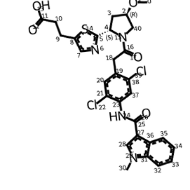 CO[C@@H]1C[C@@H](c2ncc(CCC(=O)O)s2)N(C(=O)Cc2cc(Cl)c(NC(=O)c3cn(C)c4ccccc34)cc2Cl)C1